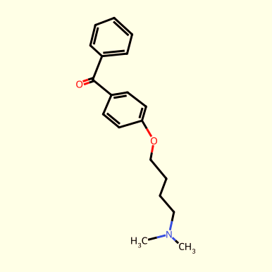 CN(C)CCCCOc1ccc(C(=O)c2ccccc2)cc1